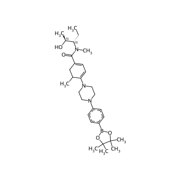 CC[C@@H]([C@H](C)O)N(C)C(=O)C1=CC=C(N2CCN(c3ccc(B4OC(C)(C)C(C)(C)O4)cc3)CC2)C(C)C1